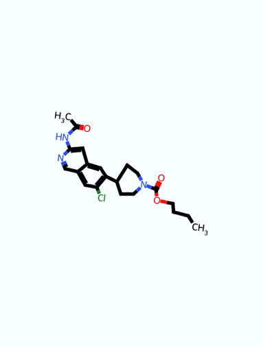 CCCCOC(=O)N1CCC(c2cc3cc(NC(C)=O)ncc3cc2Cl)CC1